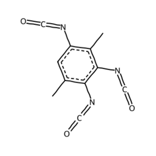 Cc1cc(N=C=O)c(C)c(N=C=O)c1N=C=O